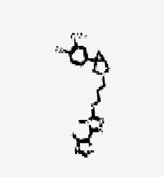 COc1cc(C23CC2CN(CCCSc2nnc(-c4ocnc4C)n2C)C3)ccc1C(C)=O